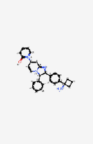 NC1(c2ccc(C3N=C4C=C(n5ccccc5=O)C=CN4C3c3ccccc3)cc2)CCC1